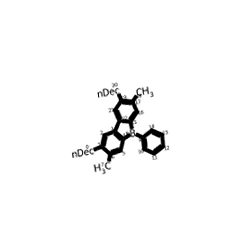 CCCCCCCCCCc1cc2c(cc1C)B(c1ccccc1)c1cc(C)c(CCCCCCCCCC)cc1-2